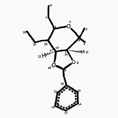 CCC1OC(C)(C)[C@H]2OC(c3ccccc3)O[C@H]2C1CC